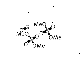 COS(=O)(=O)OC.COS(=O)(=O)OC.O=S